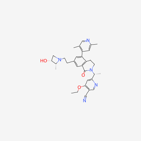 CCOc1cc([C@@H](C)N2CCc3c(cc(CCN4C[C@@H](O)[C@H]4C)cc3-c3cc(C)ncc3C)C2=O)ncc1C#N